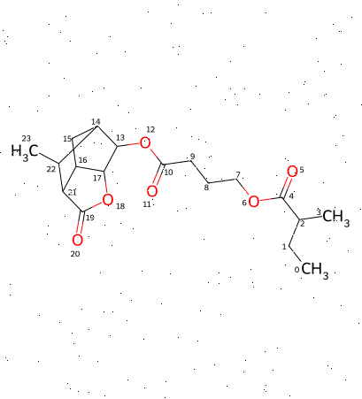 CCC(C)C(=O)OCCCC(=O)OC1C2CC3C1OC(=O)C3C2C